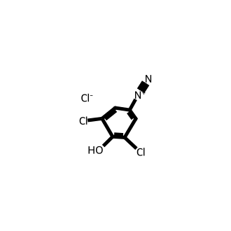 N#[N+]c1cc(Cl)c(O)c(Cl)c1.[Cl-]